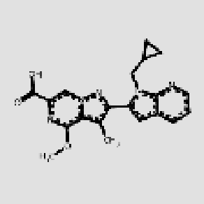 COc1nc(C(=O)O)cn2nc(-c3cc4cccnc4n3CC3CC3)c(C)c12